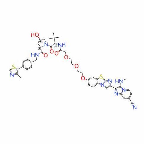 CNc1c(-c2cn3c(n2)sc2cc(OCCOCCOCC(=O)N[C@H](C(=O)N4C[C@H](O)C[C@H]4C(=O)NCc4ccc(-c5scnc5C)cc4)C(C)(C)C)ccc23)nc2cc(C#N)ccn12